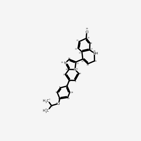 CC(C)Oc1ccc(-c2ccn3c(C4=CCNc5cc(Cl)ccc54)cnc3c2)cc1